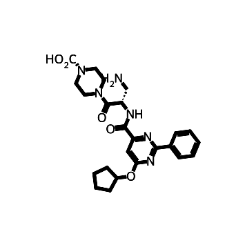 NC[C@H](NC(=O)c1cc(OC2CCCC2)nc(-c2ccccc2)n1)C(=O)N1CCN(C(=O)O)CC1